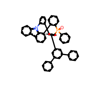 O=P1(c2ccccc2)c2ccccc2C2(c3ccccc3-n3c4ccccc4c4cccc2c43)c2ccc(-c3cc(-c4ccccc4)cc(-c4ccccc4)c3)cc21